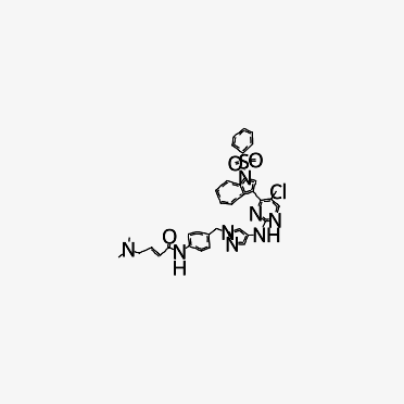 CN(C)C/C=C/C(=O)Nc1ccc(Cn2cc(Nc3ncc(Cl)c(-c4cn(S(=O)(=O)c5ccccc5)c5ccccc45)n3)cn2)cc1